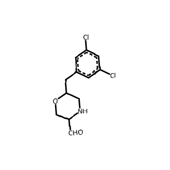 O=CC1COC(Cc2cc(Cl)cc(Cl)c2)CN1